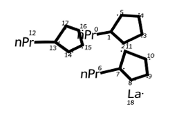 CCC[C]1[CH][CH][CH][CH]1.CCC[C]1[CH][CH][CH][CH]1.CCC[C]1[CH][CH][CH][CH]1.[La]